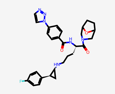 O=C(N[C@@H](CCCN[C@@H]1C[C@H]1c1ccc(F)cc1)C(=O)N1CC2CCC(C1)O2)c1ccc(-n2ccnn2)cc1